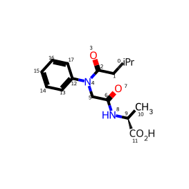 CC(C)CC(=O)N(CC(=O)N[C@@H](C)C(=O)O)c1ccccc1